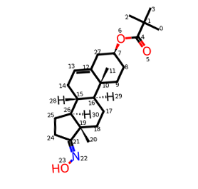 CC(C)(C)C(=O)O[C@H]1CC[C@@]2(C)C(=CC[C@@H]3[C@@H]2CC[C@]2(C)/C(=N/O)CC[C@@H]32)C1